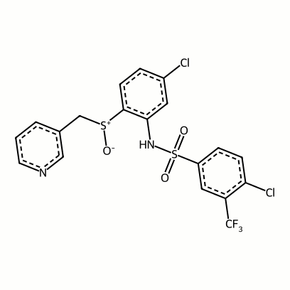 O=S(=O)(Nc1cc(Cl)ccc1[S+]([O-])Cc1cccnc1)c1ccc(Cl)c(C(F)(F)F)c1